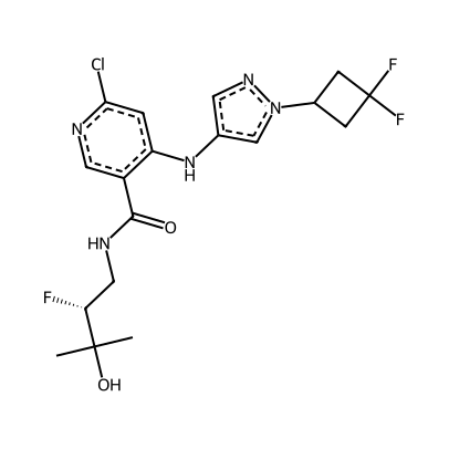 CC(C)(O)[C@H](F)CNC(=O)c1cnc(Cl)cc1Nc1cnn(C2CC(F)(F)C2)c1